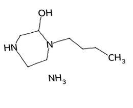 CCCCN1CCNCC1O.N